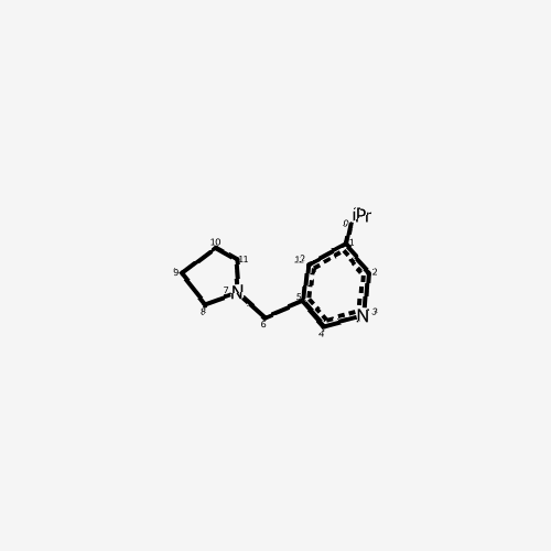 CC(C)c1cncc(CN2CCCC2)c1